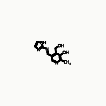 Cc1ncc(/C=N/c2ncc[nH]2)c(CO)c1O